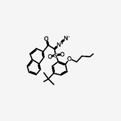 CCCCOc1ccc(C(C)(C)C)cc1S(=O)(=O)C(=[N+]=[N-])C(=O)c1ccc2ccccc2c1